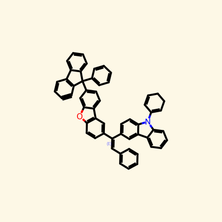 c1ccc2c(c#1)C(c1ccccc1)(c1ccc3c(c1)oc1ccc(/C(=C/c4ccccc4)c4ccc5c(c4)c4ccccc4n5C4=CCCC=C4)cc13)c1ccccc1-2